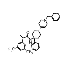 CC(C(=O)N[C@]1(c2ccccc2)CC[C@@H](C2=CCN(Cc3ccccc3)CC2)CC1)c1cc(C(F)(F)F)cc(C(F)(F)F)c1